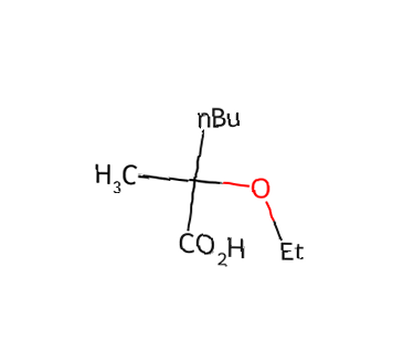 CCCCC(C)(OCC)C(=O)O